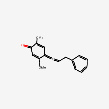 COC1=CC(=C=CCc2ccccc2)C(OC)=CC1=O